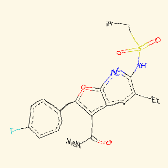 CCc1cc2c(C(=O)NC)c(-c3ccc(F)cc3)oc2nc1NS(=O)(=O)CC(C)C